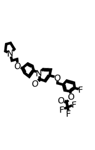 O=C(Oc1cc(COc2ccn(-c3ccc(OCCN4CCCC4)cc3)c(=O)c2)ccc1F)C(F)(F)F